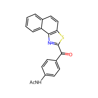 CC(=O)Nc1ccc(C(=O)c2nc3c(ccc4ccccc43)s2)cc1